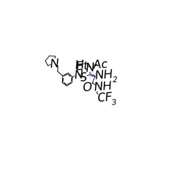 CCN(C(C)=O)/C(SNc1cccc(CCN2CCCC2)c1)=C(\N)C(=O)NCC(F)(F)F